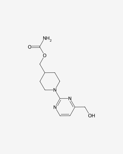 NC(=O)OCC1CCN(c2nccc(CO)n2)CC1